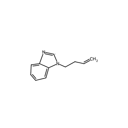 C=CCCn1[c]nc2ccccc21